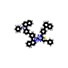 C1=C(c2ccccc2)SC2=C(c3ccc(-c4cccc5ccccc45)cc3)N=C(n3c4ccc(-c5ccc6c(c5)c5c7ccccc7ccc5n6-c5ccccc5)cc4c4c5ccccc5ccc43)NC12